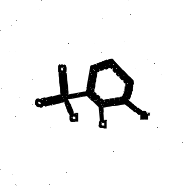 O=S(=O)(Cl)c1cccc(Br)c1Cl